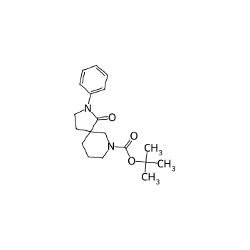 CC(C)(C)OC(=O)N1CCCC2(CCN(c3ccccc3)C2=O)C1